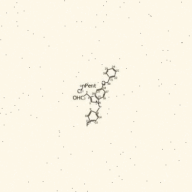 CCCCCCl.O=CCc1cn(Cc2ccc(F)cc2)c2ccc(OCc3ccccc3)cc12